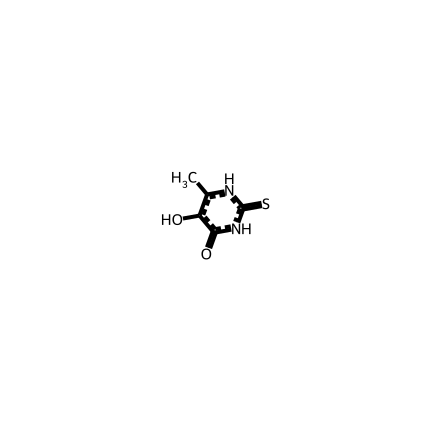 Cc1[nH]c(=S)[nH]c(=O)c1O